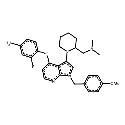 COc1ccc(Cn2nc(N3CCCCC3CN(C)C)c3c(Oc4ccc(N)cc4F)ccnc32)cc1